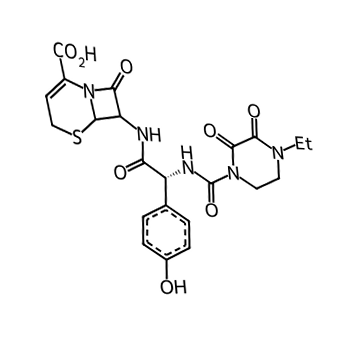 CCN1CCN(C(=O)N[C@@H](C(=O)NC2C(=O)N3C(C(=O)O)=CCSC23)c2ccc(O)cc2)C(=O)C1=O